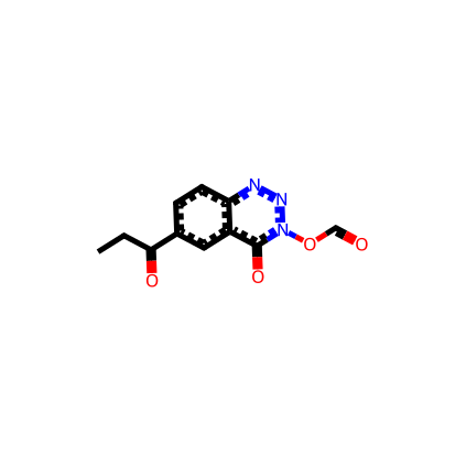 CCC(=O)c1ccc2nnn(OC=O)c(=O)c2c1